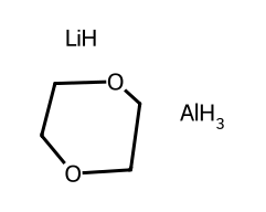 C1COCCO1.[AlH3].[LiH]